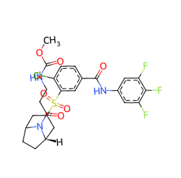 COC(=O)NCCC(=O)N1C2CC[C@H]1CC(S(=O)(=O)c1cc(C(=O)Nc3cc(F)c(F)c(F)c3)ccc1Cl)C2